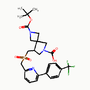 CC(C)(C)OC(=O)N1CC2(CN(C(=O)O)CC2CS(=O)(=O)Cc2cccc(-c3ccc(C(F)(F)F)cc3)n2)C1